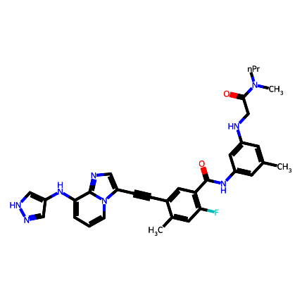 CCCN(C)C(=O)CNc1cc(C)cc(NC(=O)c2cc(C#Cc3cnc4c(Nc5cn[nH]c5)cccn34)c(C)cc2F)c1